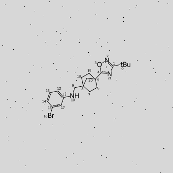 CC(C)(C)c1noc(C23CCC(CNc4cccc(Br)c4)(CC2)C3)n1